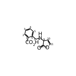 O=C(O)c1ccccc1CNC1C=COC1=O